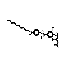 CCCCCCCCCCOc1ccc(OC(=O)c2ccc(O[C@H](C)[C@H](F)CC(C)C)c(F)c2)cc1